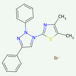 Cc1nc(-[n+]2cc(-c3ccccc3)nn2-c2ccccc2)sc1C.[Br-]